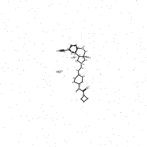 CN(C(=O)C1CCC1)C1CCC(CCN2C[C@H]3COc4ccc(C#N)cc4[C@@H]3C2)CC1.Cl